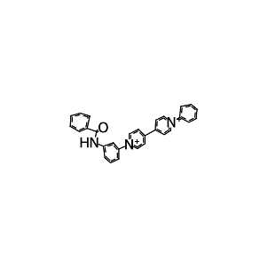 O=C(Nc1cccc(-[n+]2ccc(-c3cc[n+](-c4ccccc4)cc3)cc2)c1)c1ccccc1